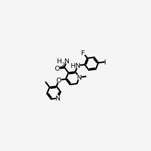 Cc1ccncc1OC1=CCN(C)C(Nc2ccc(I)cc2F)=C1C(N)=O